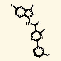 Cc1nc(-c2cccc(F)c2)ncc1C(=O)Nn1cc(C)c2cc(F)ccc21